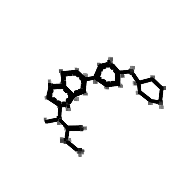 CC(C)NC(=O)N(C)c1cnc2ccc(-c3ccc(OC4CCOCC4)nc3)cc2n1